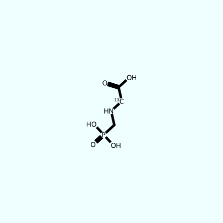 O=C(O)[13CH2]NCP(=O)(O)O